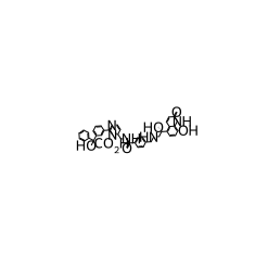 O=C(NCc1ccnc(-c2cccc([C@](O)(C(=O)O)c3ccccc3)c2)n1)c1ccc(CNC[C@H](O)c2ccc(O)c3[nH]c(=O)ccc23)cc1